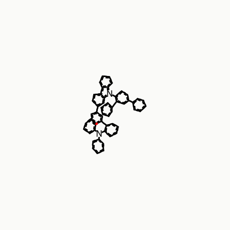 c1ccc(-c2ccc(-n3c4ccccc4c4ccc(-c5cccc(-c6ccccc6N(c6ccccc6)c6ccccc6)c5)cc43)c(-c3ccccc3)c2)cc1